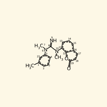 Cc1cccc(N(C)C(=N)N(C)c2cccc3ccc(=O)oc23)c1